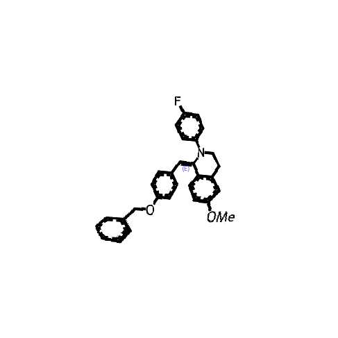 COc1ccc2c(c1)CCN(c1ccc(F)cc1)/C2=C/c1ccc(OCc2ccccc2)cc1